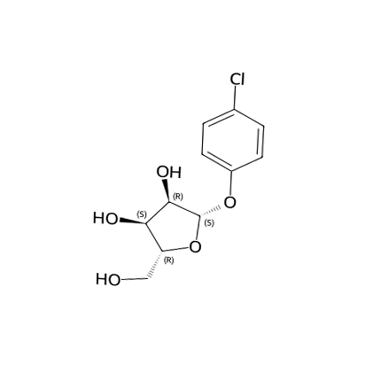 OC[C@H]1O[C@@H](Oc2ccc(Cl)cc2)[C@H](O)[C@@H]1O